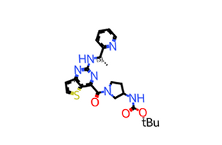 C[C@H](Nc1nc(C(=O)N2CCC(NC(=O)OC(C)(C)C)C2)c2sccc2n1)c1ccccn1